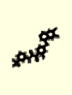 Cc1cc2nccc(Oc3ccc(C(=O)C(=O)Nc4cccc(C(F)(F)F)c4)c(F)c3)c2cc1C